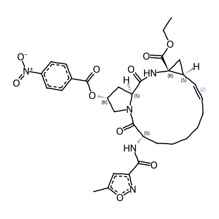 CCOC(=O)[C@@]12C[C@H]1/C=C\CCCCC[C@H](NC(=O)c1cc(C)on1)C(=O)N1C[C@H](OC(=O)c3ccc([N+](=O)[O-])cc3)C[C@H]1C(=O)N2